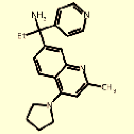 CCC(N)(c1ccncc1)c1ccc2c(N3CCCC3)cc(C)nc2c1